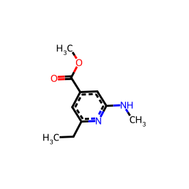 CCc1cc(C(=O)OC)cc(NC)n1